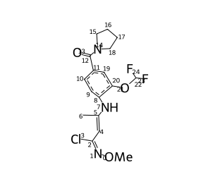 CO/N=C(Cl)\C=C(/C)Nc1ccc(C(=O)N2CCCC2)cc1OC(F)F